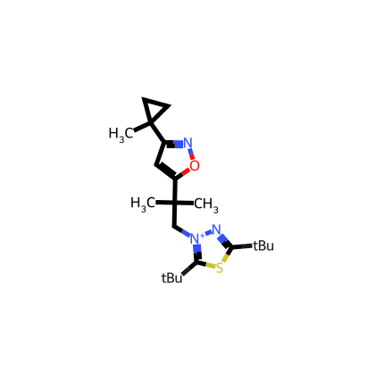 CC(C)(C)c1n[n+](CC(C)(C)c2cc(C3(C)CC3)no2)c(C(C)(C)C)s1